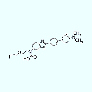 CN(C)c1ccc(-c2ccc(-c3nc4ccc(N(CCOCCI)C(=O)O)cc4s3)cc2)cn1